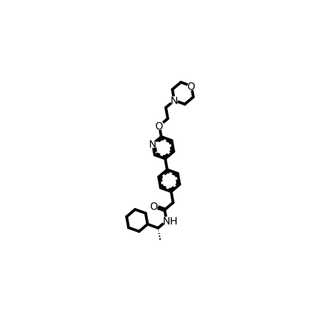 C[C@@H](NC(=O)Cc1ccc(-c2ccc(OCCN3CCOCC3)nc2)cc1)C1CCCCC1